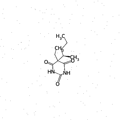 CCC[C@@H](C)C1(CC)C(=O)NC(=O)NC1=O